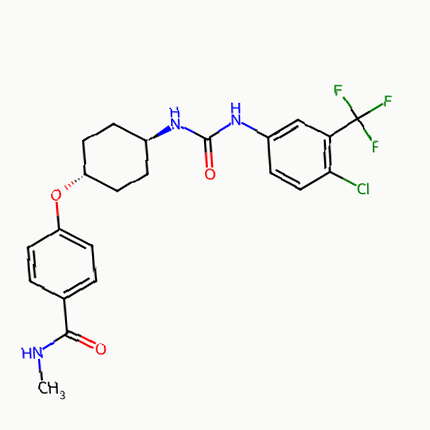 CNC(=O)c1ccc(O[C@H]2CC[C@H](NC(=O)Nc3ccc(Cl)c(C(F)(F)F)c3)CC2)cc1